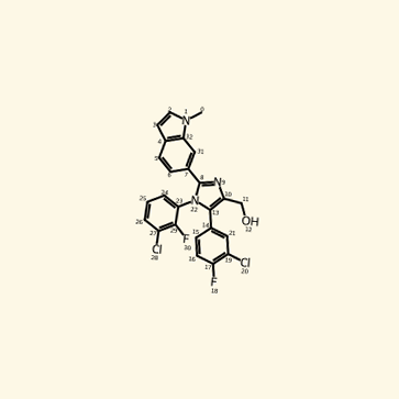 Cn1ccc2ccc(-c3nc(CO)c(-c4ccc(F)c(Cl)c4)n3-c3cccc(Cl)c3F)cc21